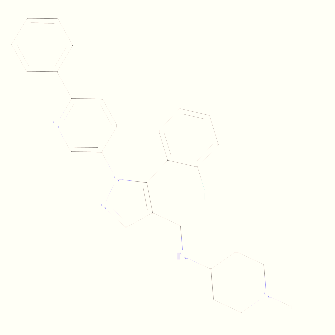 CCOC(=O)N1CCC(NCc2cnn(-c3ccc(-c4ccccc4)nc3)c2-c2ccccc2F)CC1